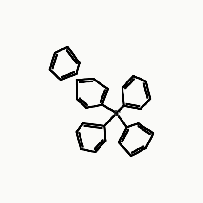 c1ccc([B-](c2ccccc2)(c2ccccc2)c2ccccc2)cc1.c1ccccc1